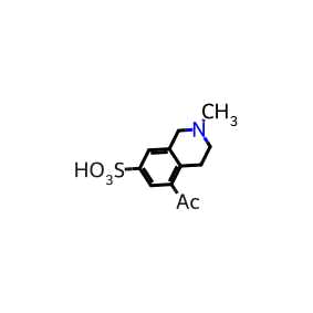 CC(=O)c1cc(S(=O)(=O)O)cc2c1CCN(C)C2